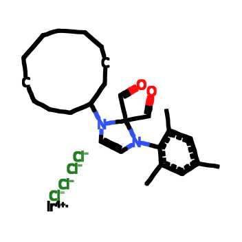 Cc1cc(C)c(N2C=CN(C3CCCCCCCCCCC3)C2(C=O)C=O)c(C)c1.[Cl-].[Cl-].[Cl-].[Cl-].[Ir+4]